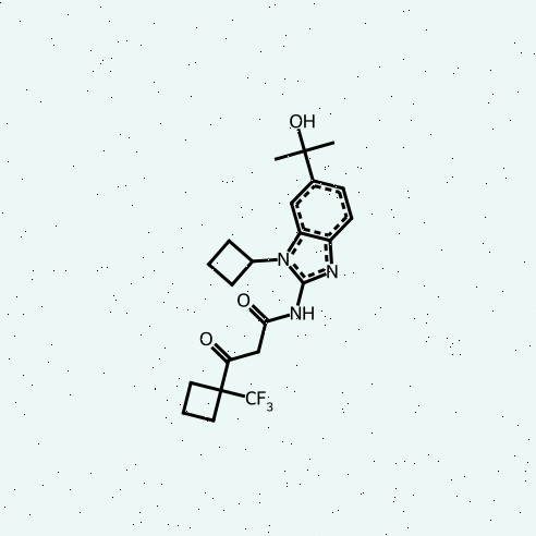 CC(C)(O)c1ccc2nc(NC(=O)CC(=O)C3(C(F)(F)F)CCC3)n(C3CCC3)c2c1